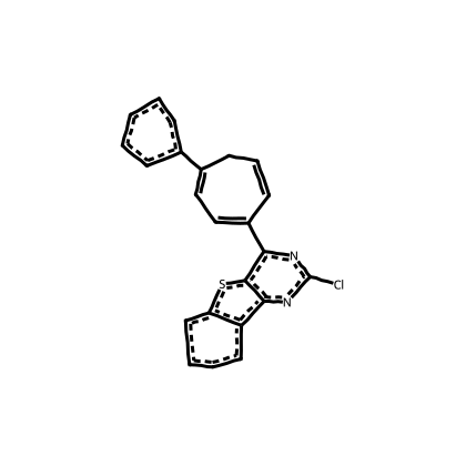 Clc1nc(C2=CC=C(c3ccccc3)CC=C2)c2sc3ccccc3c2n1